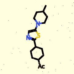 CC(=O)C1CCC(c2ncc(N3CCC(C)CC3)s2)CC1